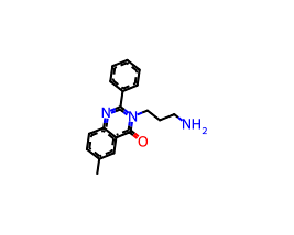 Cc1ccc2nc(-c3ccccc3)n(CCCN)c(=O)c2c1